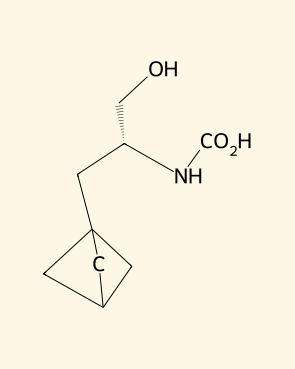 O=C(O)N[C@@H](CO)CC12CC(C1)C2